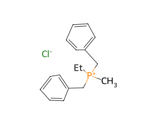 CC[P+](C)(Cc1ccccc1)Cc1ccccc1.[Cl-]